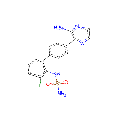 Nc1nccnc1-c1ccc(-c2cccc(F)c2NS(N)(=O)=O)cc1